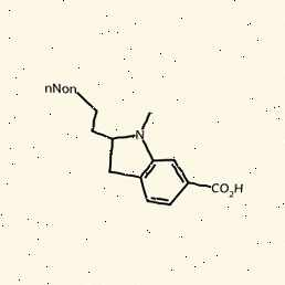 CCCCCCCCCCCC1Cc2ccc(C(=O)O)cc2N1C